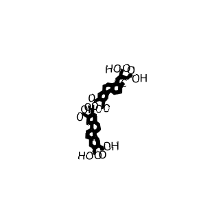 O=C(O)c1cc2ccc3c4cc(C(=O)O)c(C(=O)OC(=O)c5cc6ccc7c8cc(C(=O)O)c(C(=O)O)cc8ccc7c6cc5C(=O)O)cc4ccc3c2cc1C(=O)O